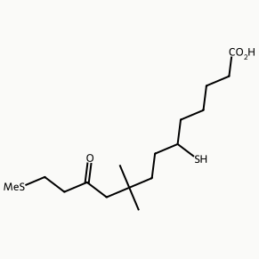 CSCCC(=O)CC(C)(C)CCC(S)CCCCC(=O)O